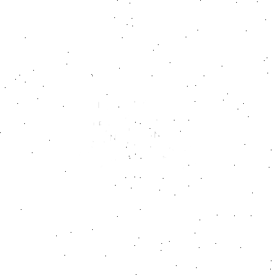 CC1OC2(CCN(Cc3ccccc3)CC2)CN(c2ccccc2)C1=O.Cl